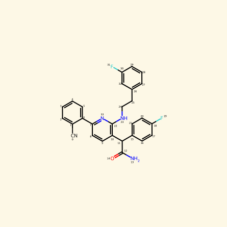 N#Cc1ccccc1-c1ccc(C(C(N)=O)c2ccc(F)cc2)c(NCCc2cccc(F)c2)n1